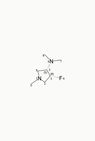 CN1C[C@@H](F)[C@@H](N(C)C)C1